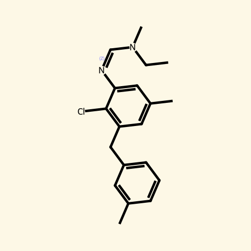 CCN(C)/C=N\c1cc(C)cc(Cc2cccc(C)c2)c1Cl